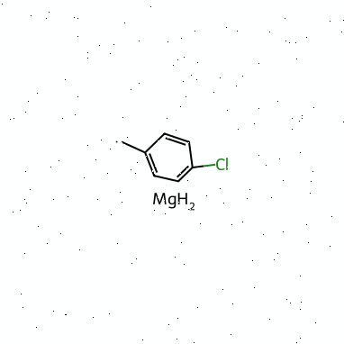 [CH2]c1ccc(Cl)cc1.[MgH2]